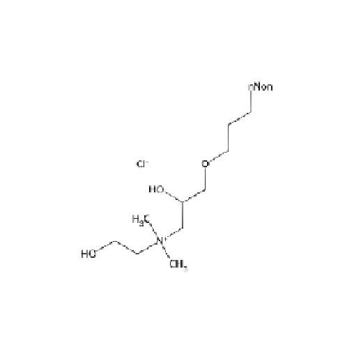 CCCCCCCCCCCCOCC(O)C[N+](C)(C)CCO.[Cl-]